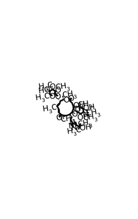 CC[C@H]1OC(=O)C[C@@H](O)[C@H](C)[C@@H](O[C@@H]2O[C@H](C)[C@@H](O)C(N(C)C)C2O)[C@@H](CCn2cc(C(C)(C)O)nn2)C[C@@H](C)C(=O)/C=C/C(C)=C/[C@@H]1COC1=C(OC)[C@@H](OC)[C@H](O)C(C)O1